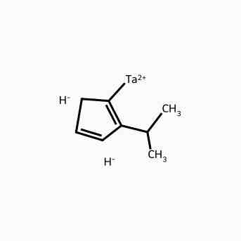 CC(C)C1=[C]([Ta+2])CC=C1.[H-].[H-]